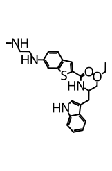 CCOCC(Cc1c[nH]c2ccccc12)NC(=O)c1cc2ccc(NCCNC)cc2s1